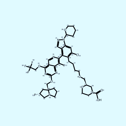 O=C(O)N1CCO[C@@H](COCCCCc2c(Cl)cc3c(cnn3C3CCCCO3)c2-c2ncc3c(OCC(F)(F)F)nc(OC[C@@]45CCCN4C[C@H](F)C5)nc3c2F)C1